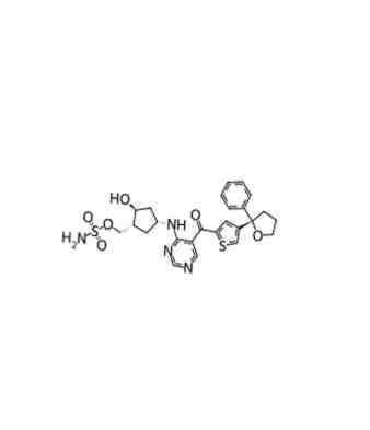 NS(=O)(=O)OC[C@H]1C[C@@H](Nc2ncncc2C(=O)c2cc([C@@]3(c4ccccc4)CCCO3)cs2)C[C@@H]1O